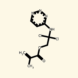 C=C(C)C(=O)OCC(Cl)(Cl)Nc1ccnnn1